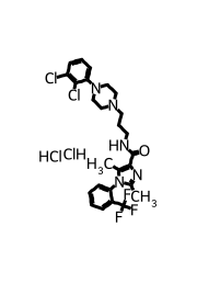 Cc1nc(C(=O)NCCCN2CCN(c3cccc(Cl)c3Cl)CC2)c(C)n1-c1ccccc1C(F)(F)F.Cl.Cl